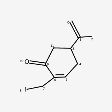 C=C(C)C1CC=C(CI)C(=O)C1